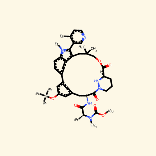 CCc1ccncc1-c1c2c3cc(ccc3n1CC)-c1cc(cc(O[Si](C(C)C)(C(C)C)C(C)C)c1)C[C@H](NC(=O)[C@H](C(C)C)N(C)C(=O)OC(C)(C)C)C(=O)N1CCC[C@H](N1)C(=O)OCC(C)(C)C2